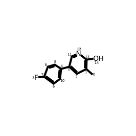 Cc1cc(-c2ccc(F)cc2)cnc1O